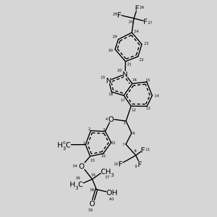 Cc1cc(OC(CCC(F)(F)F)c2cccc3c2cnn3-c2ccc(C(F)(F)F)cc2)ccc1OC(C)(C)C(=O)O